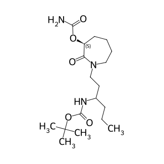 CCCC(CCN1CCCC[C@H](OC(N)=O)C1=O)NC(=O)OC(C)(C)C